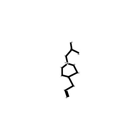 C=CCC1CCN(CC(C)C)CC1